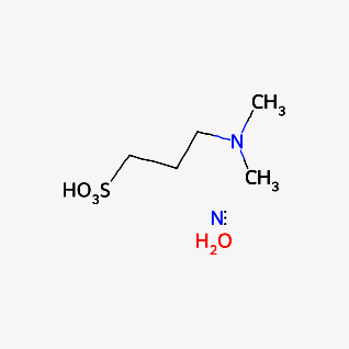 CN(C)CCCS(=O)(=O)O.O.[N]